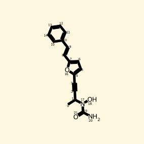 CC(C#Cc1ccc(C=Cc2ccccc2)o1)N(O)C(N)=O